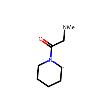 CNCC(=O)N1[CH]CCCC1